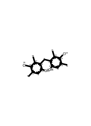 Cc1cc(O)c(Cc2c(O)cc(C)c(Cl)c2C)c(C)c1Cl